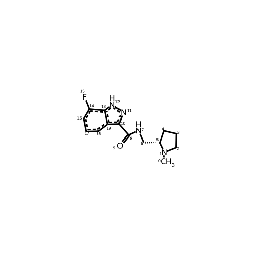 CN1CCC[C@H]1CNC(=O)c1n[nH]c2c(F)cccc12